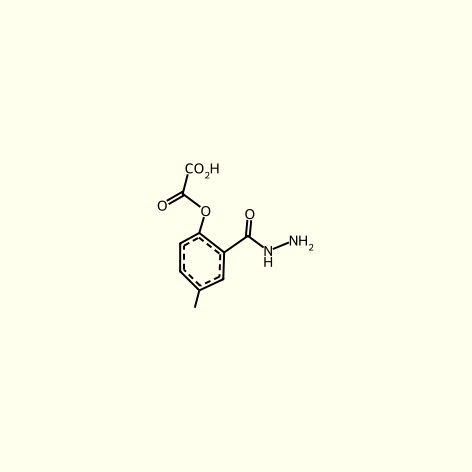 Cc1ccc(OC(=O)C(=O)O)c(C(=O)NN)c1